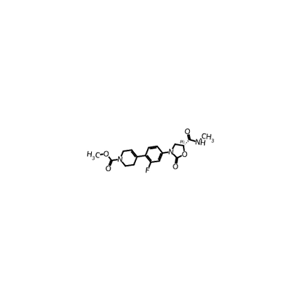 CNC(=O)[C@H]1CN(c2ccc(C3=CCN(C(=O)OC)CC3)c(F)c2)C(=O)O1